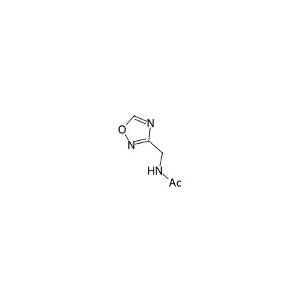 CC(=O)NCc1ncon1